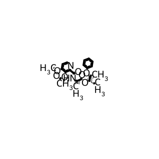 CC[C@H](OC(=O)[C@H](C)NC(=O)c1nccc(OC)c1OC(C)=O)[C@@H](C)Oc1ccccc1